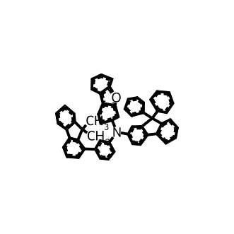 CC1(C)c2ccccc2-c2cccc(-c3cccc(N(c4ccc5c(c4)C(c4ccccc4)(c4ccccc4)c4ccccc4-5)c4ccc5c(c4)oc4ccccc45)c3)c21